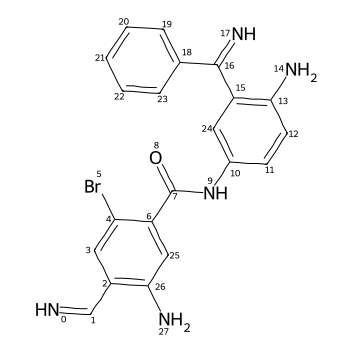 N=Cc1cc(Br)c(C(=O)Nc2ccc(N)c(C(=N)c3ccccc3)c2)cc1N